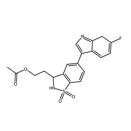 CC(=O)OCCC1NS(=O)(=O)c2ccc(C3=CN=C4CC(F)=CC=C34)cc21